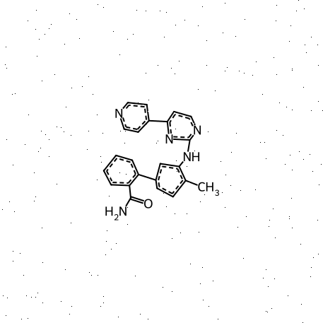 Cc1ccc(-c2ccccc2C(N)=O)cc1Nc1nccc(-c2ccncc2)n1